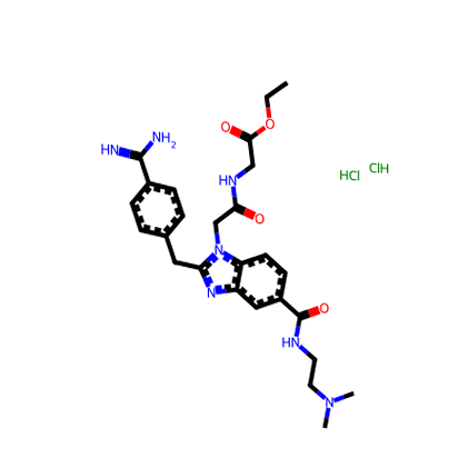 CCOC(=O)CNC(=O)Cn1c(Cc2ccc(C(=N)N)cc2)nc2cc(C(=O)NCCN(C)C)ccc21.Cl.Cl